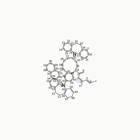 C=C(/C=C(C)\C=C\C)c1ccc(N2c3ccccc3CCc3ccccc32)cccc(-c2cccc3ccccc23)c2cc(N3C4=C(CCC=C4)CCc4ccccc43)ccc12